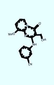 COc1cccn2c(=O)c(CO)c(Nc3cccc(C#N)c3)nc12